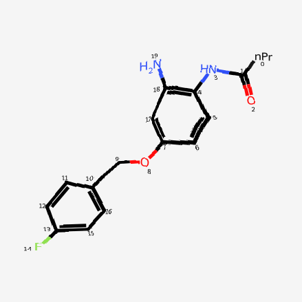 CCCC(=O)Nc1ccc(OCc2ccc(F)cc2)cc1N